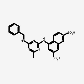 Cc1nc(NCc2ccccc2)nc(Nc2cc(S(=O)(=O)O)cc3cc(S(=O)(=O)O)ccc23)n1